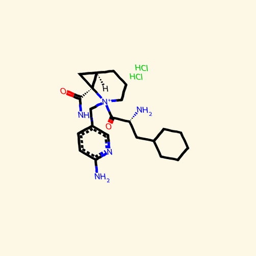 Cl.Cl.NC(=O)[C@]12C[C@H]1CCC[N+]2(Cc1ccc(N)nc1)C(=O)[C@H](N)CC1CCCCC1